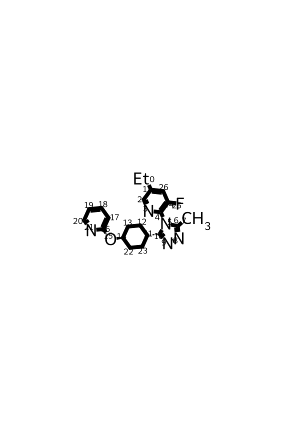 CCc1cnc(-n2c(C)nnc2[C@H]2CC[C@H](Oc3ccccn3)CC2)c(F)c1